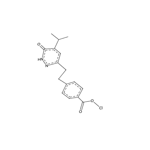 CC(C)c1cc(CCc2ccc(C(=O)OCl)cc2)n[nH]c1=O